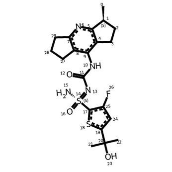 C[C@H]1CCc2c1nc1c(c2NC(=O)N=[S@](N)(=O)c2sc(C(C)(C)O)cc2F)CCC1